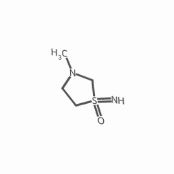 CN1CCS(=N)(=O)C1